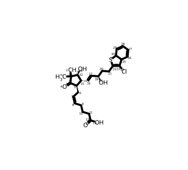 CC1(C)C(=O)[C@H](C/C=C\CCCC(=O)O)[C@@H](/C=C/[C@H](O)CCC2=C(Cl)C3C=CC=CC3S2)[C@@H]1O